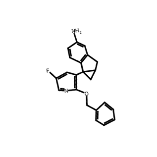 Nc1ccc2c(c1)CC1CC21c1cc(F)cnc1OCc1ccccc1